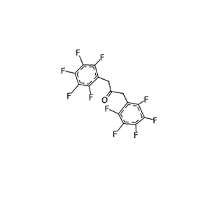 O=C(Cc1c(F)c(F)c(F)c(F)c1F)Cc1c(F)c(F)c(F)c(F)c1F